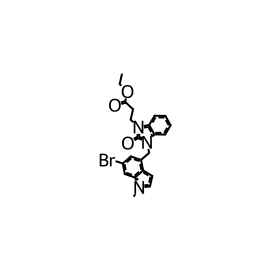 CCOC(=O)CCn1c(=O)n(Cc2cc(Br)cc3c2ccn3C)c2ccccc21